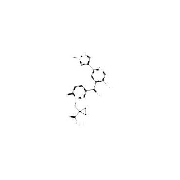 CCn1cc(-c2cc(C(=N)c3ccc(=O)n(CC4(C(N)=O)CC4)c3)c(N)cn2)cn1